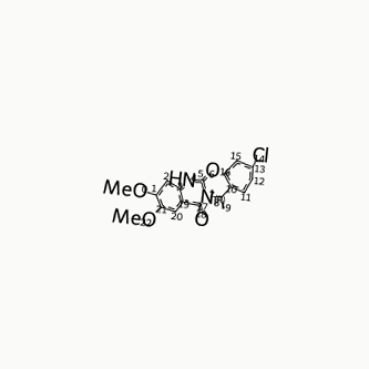 COc1cc2[nH]c(=O)n([C@H](C)c3ccc(Cl)cc3)c(=O)c2cc1OC